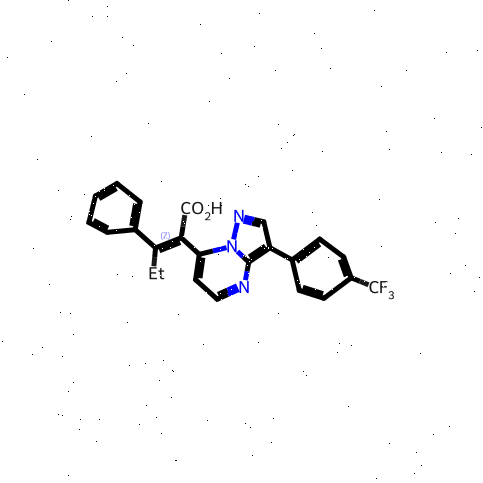 CC/C(=C(/C(=O)O)c1ccnc2c(-c3ccc(C(F)(F)F)cc3)cnn12)c1ccccc1